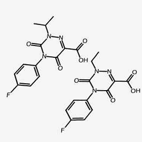 CC(C)n1nc(C(=O)O)c(=O)n(-c2ccc(F)cc2)c1=O.CCn1nc(C(=O)O)c(=O)n(-c2ccc(F)cc2)c1=O